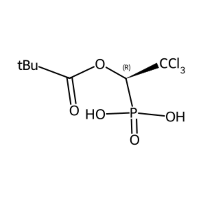 CC(C)(C)C(=O)O[C@@H](C(Cl)(Cl)Cl)P(=O)(O)O